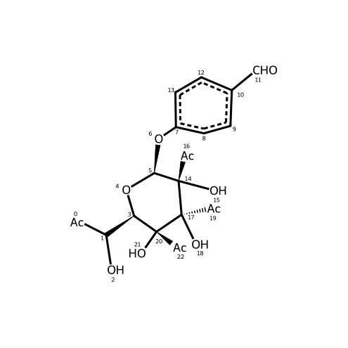 CC(=O)C(O)[C@H]1O[C@@H](Oc2ccc(C=O)cc2)[C@@](O)(C(C)=O)[C@](O)(C(C)=O)[C@@]1(O)C(C)=O